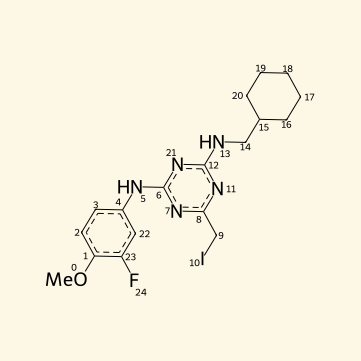 COc1ccc(Nc2nc(CI)nc(NCC3CCCCC3)n2)cc1F